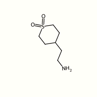 NCCC1CCS(=O)(=O)CC1